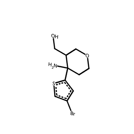 NC1(c2cc(Br)cs2)CCOCC1CO